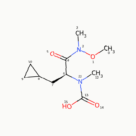 CON(C)C(=O)[C@H](CC1CC1)N(C)C(=O)O